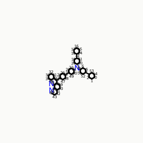 c1ccc(-c2ccc(N(c3ccc(-c4ccccc4)cc3)c3ccc(-c4ccc(-c5c6ccccc6nc6c5ccc5cccnc56)cc4)cc3)cc2)cc1